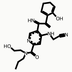 C=C(C(=N)c1cnc(C(=O)N(CCC)CCO)cc1NCC#N)C1=CCCC=C1O